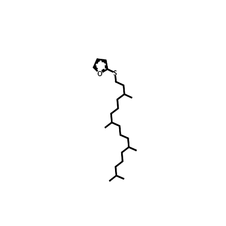 CC(C)CCCC(C)CCCC(C)CCCC(C)CCSc1ccco1